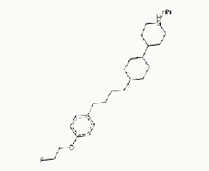 CCC[SiH]1CCC(C2CCC(CCCCc3ccc(OCCF)cc3)CC2)CC1